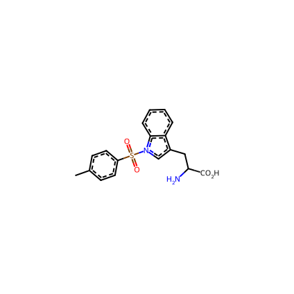 Cc1ccc(S(=O)(=O)n2cc(CC(N)C(=O)O)c3ccccc32)cc1